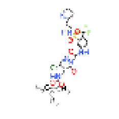 CC(C)(C)OC(=O)NCc1c(Cl)cnn(CC(=O)Nc2ccc(C(F)(F)F)c(S(=O)(=O)NCCc3ccccn3)c2)c1=O